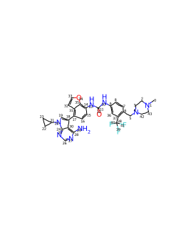 CN1CCN(Cc2ccc(NC(=O)Nc3ccc(-c4cn(C5CC5)c5ncnc(N)c45)c4ccoc34)cc2C(F)(F)F)CC1